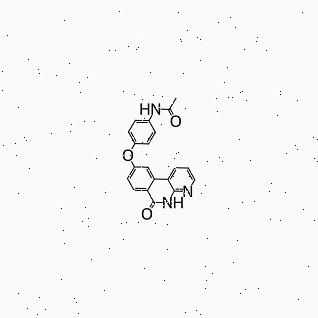 CC(=O)Nc1ccc(Oc2ccc3c(=O)[nH]c4ncccc4c3c2)cc1